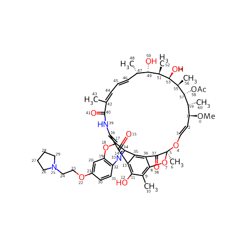 CO[C@H]1/C=C/O[C@@]2(C)Oc3c(C)c(O)c4c(=O)c(c5oc6cc(OCCN7CCCC7)ccc6nc-5c4c3C2=O)NC(=O)/C(C)=C\C=C\[C@H](C)[C@H](O)[C@@H](C)[C@@H](O)[C@@H](C)[C@H](OC(C)=O)[C@@H]1C